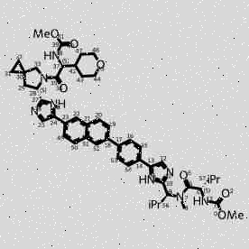 COC(=O)N[C@H](C(=O)N(C)[C@H](c1ncc(-c2ccc(-c3ccc4cc(-c5cnc([C@@H]6CC7(CC7)CN6C(=O)[C@@H](NC(=O)OC)C6CCOCC6)[nH]5)ccc4c3)cc2)[nH]1)C(C)C)C(C)C